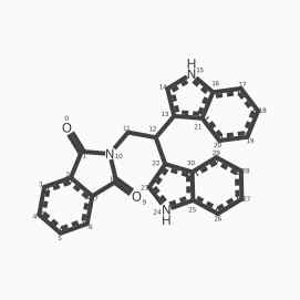 O=C1c2ccccc2C(=O)N1CC(c1c[nH]c2ccccc12)c1c[nH]c2ccccc12